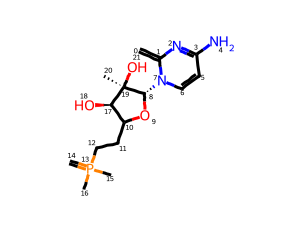 C=C1N=C(N)C=CN1[C@@H]1OC(CCP(=C)(C)C)[C@@H](O)[C@@]1(C)O